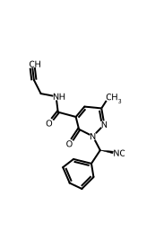 [C-]#[N+][C@@H](c1ccccc1)n1nc(C)cc(C(=O)NCC#C)c1=O